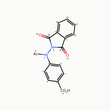 CC(=O)N(c1ccc(C(=O)O)cc1)N1C(=O)c2ccccc2C1=O